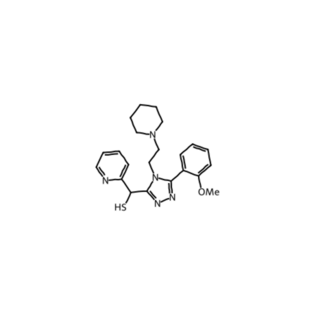 COc1ccccc1-c1nnc(C(S)c2ccccn2)n1CCN1CCCCC1